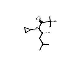 CC(C)C[C@@H](C)N(C(=O)C(C)(C)C)C1CC1